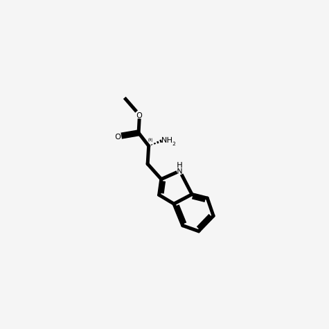 COC(=O)[C@H](N)Cc1cc2ccccc2[nH]1